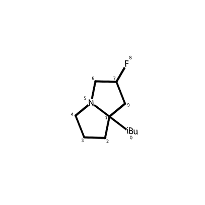 CCC(C)C12CCCN1CC(F)C2